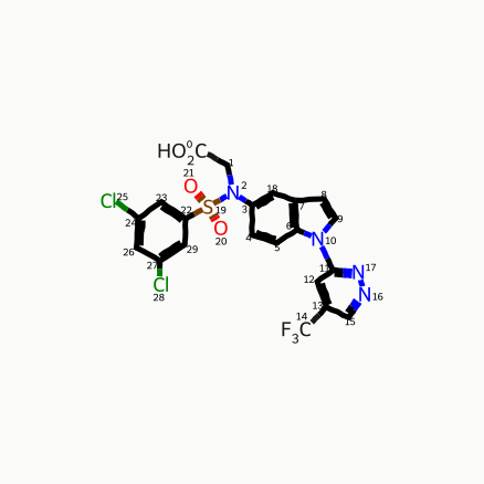 O=C(O)CN(c1ccc2c(ccn2-c2cc(C(F)(F)F)cnn2)c1)S(=O)(=O)c1cc(Cl)cc(Cl)c1